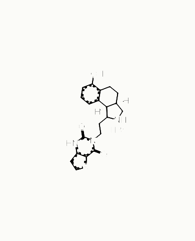 Br.O=c1[nH]c2ccsc2c(=O)n1CCC1NC[C@@H]2CCc3c(O)cccc3[C@H]12